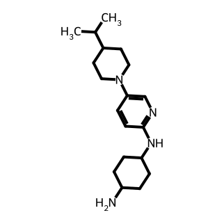 CC(C)C1CCN(c2ccc(NC3CCC(N)CC3)nc2)CC1